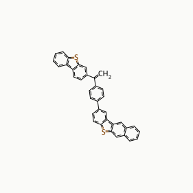 C=C(c1ccc(-c2ccc3sc4cc5ccccc5cc4c3c2)cc1)c1ccc2c(c1)sc1ccccc12